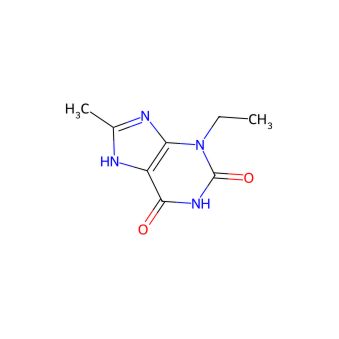 CCn1c(=O)[nH]c(=O)c2[nH]c(C)nc21